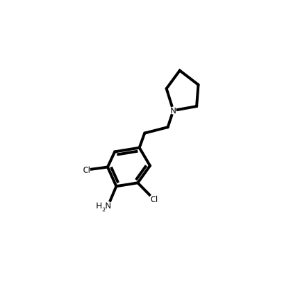 Nc1c(Cl)cc(CCN2CCCC2)cc1Cl